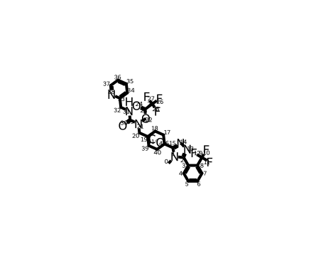 Cn1c(-c2ccccc2C(F)(F)F)nnc1C12CCC(CN(OC(=O)C(F)(F)F)C(=O)NCc3ccccn3)(CC1)CC2